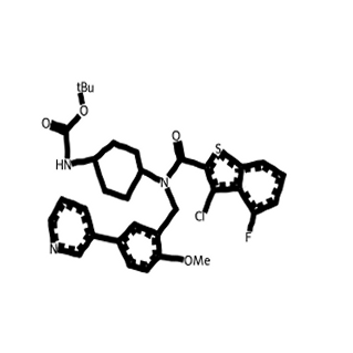 COc1ccc(-c2cccnc2)cc1CN(C(=O)c1sc2cccc(F)c2c1Cl)C1CCC(NC(=O)OC(C)(C)C)CC1